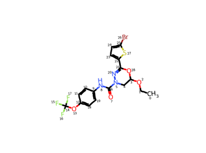 CCOC1CN(C(=O)Nc2ccc(OC(F)(F)F)cc2)N=C(c2ccc(Br)s2)O1